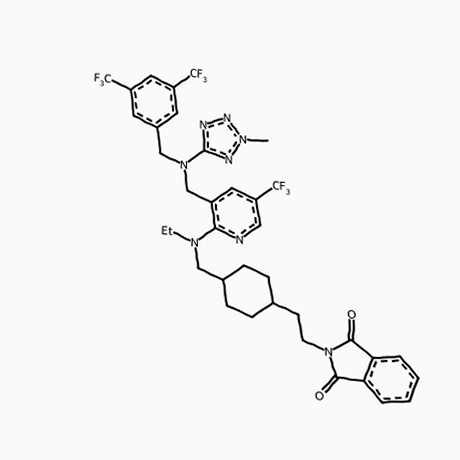 CCN(CC1CCC(CCN2C(=O)c3ccccc3C2=O)CC1)c1ncc(C(F)(F)F)cc1CN(Cc1cc(C(F)(F)F)cc(C(F)(F)F)c1)c1nnn(C)n1